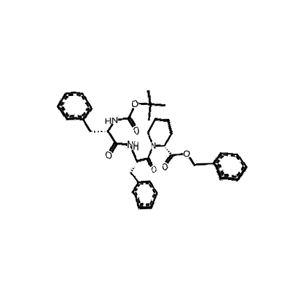 CC(C)(C)OC(=O)N[C@@H](Cc1ccccc1)C(=O)N[C@@H](Cc1ccccc1)C(=O)N1CCCC[C@@H]1C(=O)OCc1ccccc1